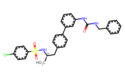 O=C(NCc1ccccc1)Nc1cccc(-c2ccc(C[C@H](NS(=O)(=O)c3ccc(Cl)cc3)C(=O)O)cc2)c1